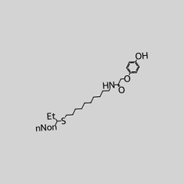 CCCCCCCCCC(CC)SCCCCCCCCCCNC(=O)COc1ccc(O)cc1